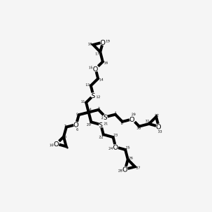 C(CSCC(COCC1CO1)(CSCCOCC1CO1)CSCCOCC1CO1)OCC1CO1